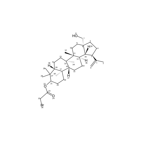 C=C(C)[C@@H]1CC[C@]2(CO)CC[C@]3(C)[C@H](CC[C@@H]4[C@@]5(C)CCC(OC(=O)CBr)C(C)(C)[C@@H]5CC[C@]43C)[C@@H]12